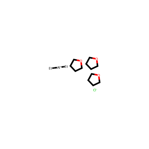 C1CCOC1.C1CCOC1.C1CCOC1.C[CH2][Al+][CH2]C.[Cl-]